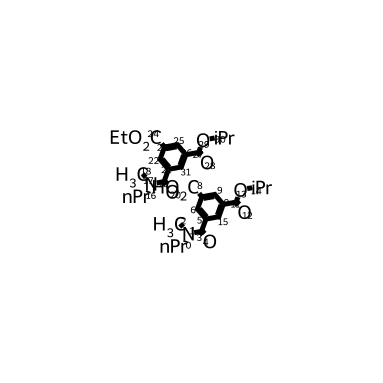 CCCN(C)C(=O)c1cc(C(=O)O)cc(C(=O)OC(C)C)c1.CCCN(C)C(=O)c1cc(C(=O)OCC)cc(C(=O)OC(C)C)c1